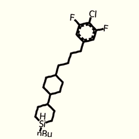 CCCC[SiH]1CCC(C2CCC(CCCCc3cc(F)c(Cl)c(F)c3)CC2)CC1